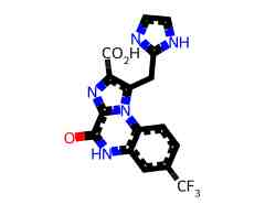 O=C(O)c1nc2c(=O)[nH]c3cc(C(F)(F)F)ccc3n2c1Cc1ncc[nH]1